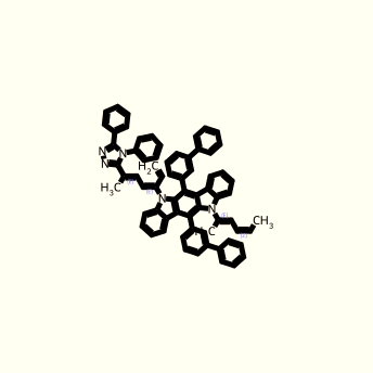 C=C/C(=C\C=C(/C)c1nnc(-c2ccccc2)n1-c1ccccc1)n1c2ccccc2c2c(-c3cccc(-c4ccccc4)c3)c3c(c(-c4cccc(-c5ccccc5)c4)c21)c1ccccc1n3/C(C)=C/C=C\C